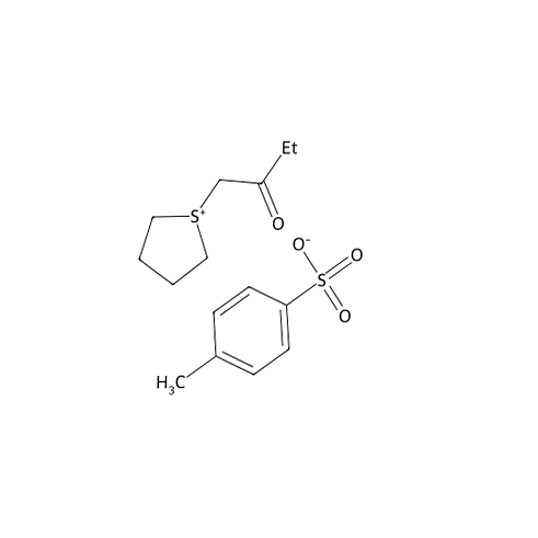 CCC(=O)C[S+]1CCCC1.Cc1ccc(S(=O)(=O)[O-])cc1